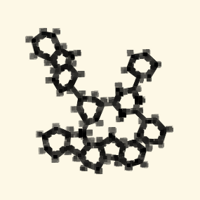 c1ccc(-c2nc(-c3ccccc3)nc(-c3cc(-c4ccc5c(c4)sc4ccccc45)cc(-n4c5ccccc5c5ccc6c7ccccc7sc6c54)c3)n2)cc1